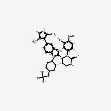 [2H]C([2H])([2H])OC1CCC(n2c([C@@H]3CCOC(=O)N3c3ccc(OC)c(F)c3)nc3cc(-c4c(C)noc4C)ccc32)CC1